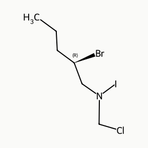 CCC[C@@H](Br)CN(I)CCl